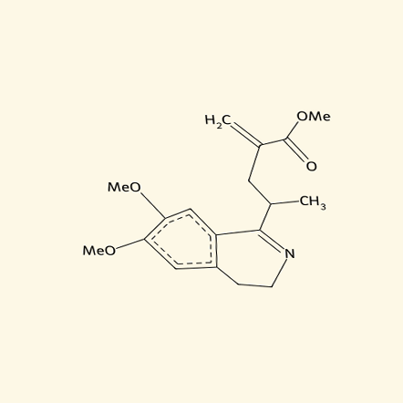 C=C(CC(C)C1=NCCc2cc(OC)c(OC)cc21)C(=O)OC